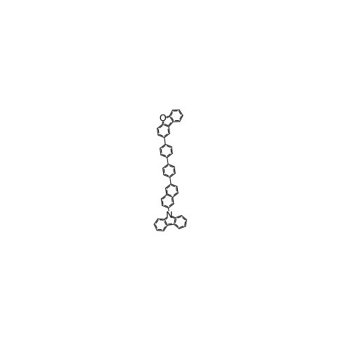 c1ccc2c(c1)oc1ccc(-c3ccc(-c4ccc(-c5ccc6cc(-n7c8ccccc8c8ccccc87)ccc6c5)cc4)cc3)cc12